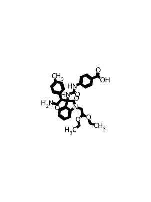 CCOC(CN1C(=O)C(NC(=O)Nc2ccc(C(=O)O)cc2)(C(C(N)=O)c2ccc(C)cc2)c2ccccc21)OCC